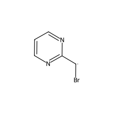 Br[CH]c1ncccn1